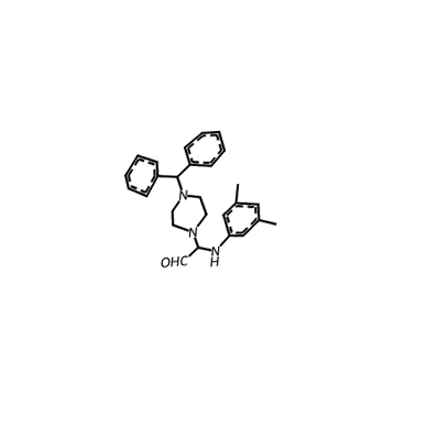 Cc1cc(C)cc(NC(C=O)N2CCN(C(c3ccccc3)c3ccccc3)CC2)c1